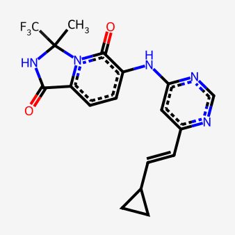 CC1(C(F)(F)F)NC(=O)c2ccc(Nc3cc(C=CC4CC4)ncn3)c(=O)n21